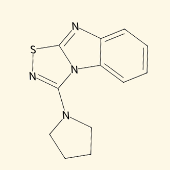 c1ccc2c(c1)nc1snc(N3CCCC3)n12